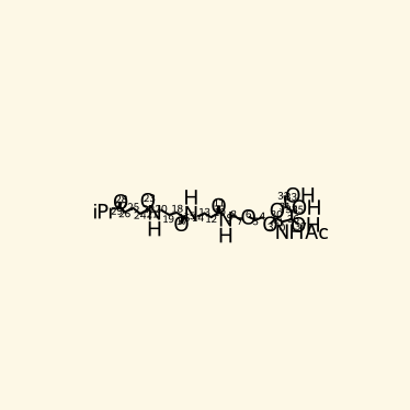 CC(=O)NC1C(OCCOCCNC(=O)CCCNC(=O)CCCNC(=O)CCCC(=O)C(C)C)OC(CO)C(O)C1O